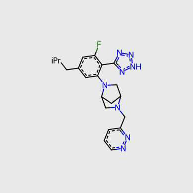 CC(C)Cc1cc(F)c(-c2nn[nH]n2)c(N2CC3CC2CN3Cc2cccnn2)c1